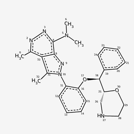 Cc1nnc(N(C)C)c2nn(-c3ccccc3O[C@@H](c3ccccc3)[C@H]3CNCCO3)c(C)c12